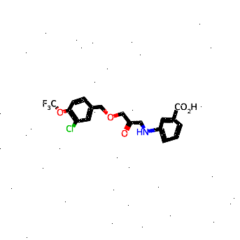 O=C(CNc1cccc(C(=O)O)c1)COCc1ccc(OC(F)(F)F)c(Cl)c1